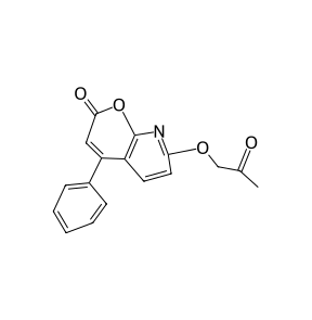 CC(=O)COc1ccc2c(-c3ccccc3)cc(=O)oc2n1